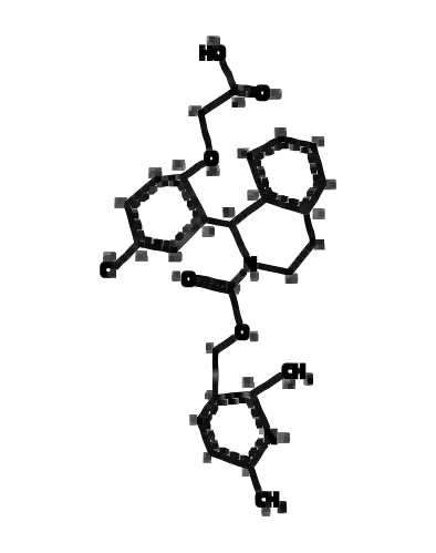 Cc1ccc(COC(=O)N2CCc3ccccc3C2c2cc(Cl)ccc2OCC(=O)O)c(C)n1